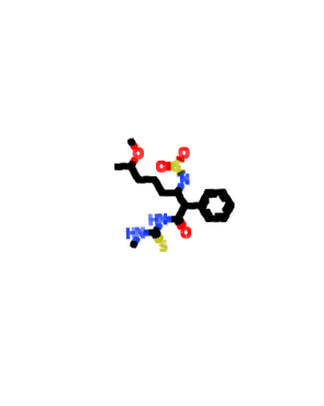 CNC(=S)NC(=O)C(c1ccccc1)C(CCCC(C)OC)N=S(=O)=O